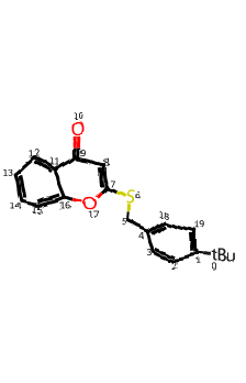 CC(C)(C)c1ccc(CSc2cc(=O)c3ccccc3o2)cc1